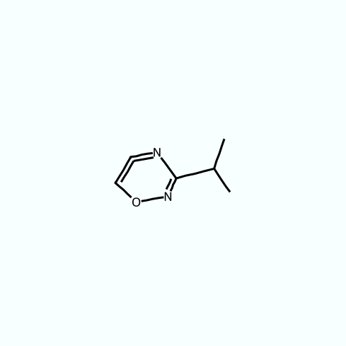 CC(C)C1=NOC=C=N1